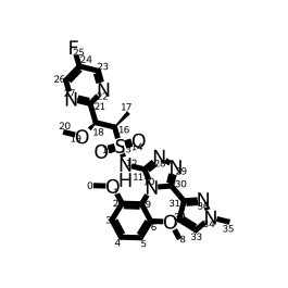 COc1cccc(OC)c1-n1c(NS(=O)(=O)[C@H](C)[C@@H](OC)c2ncc(F)cn2)nnc1-c1ccn(C)n1